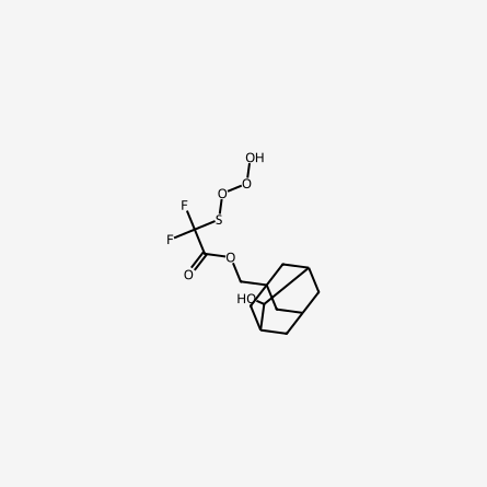 O=C(OCC12CC3CC(C1)C(O)C(C3)C2)C(F)(F)SOOO